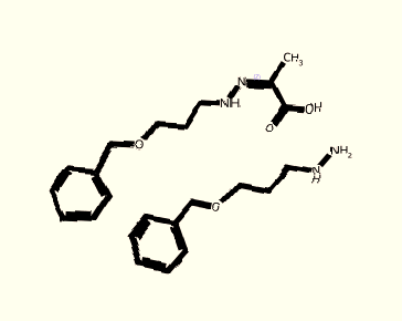 C/C(=N/NCCCOCc1ccccc1)C(=O)O.NNCCCOCc1ccccc1